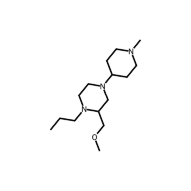 CCCN1CCN(C2CCN(C)CC2)CC1COC